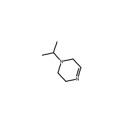 CC(C)N1CC=NCC1